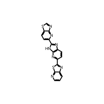 c1cnc2sc(-c3ccc4nc(-c5ccc6scnc6n5)[nH]c4n3)nc2c1